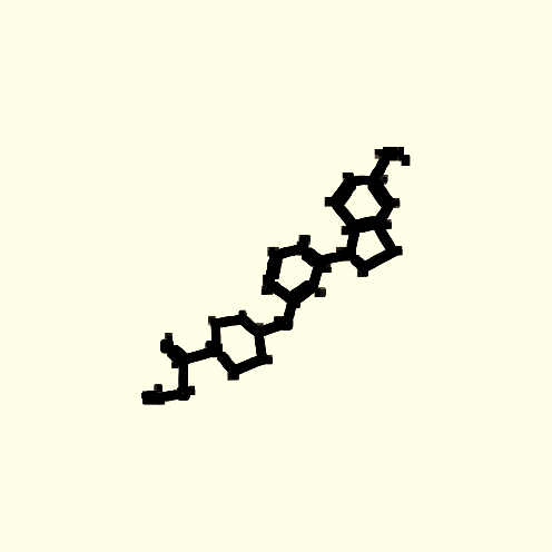 CC(C)(C)OC(=O)N1CCC(Oc2cc(N3CCc4cc(N)ccc43)ncn2)CC1